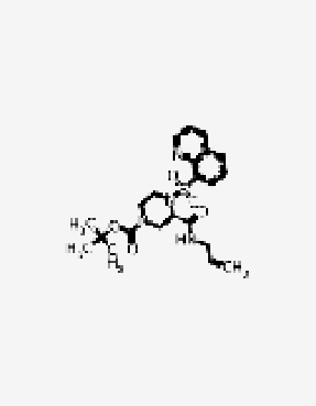 C=CCNC(=O)[C@H]1CN(C(=O)OC(C)(C)C)CCN1S(=O)(=O)c1cccc2cccnc12